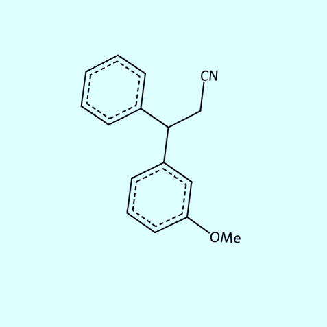 COc1cccc(C(CC#N)c2ccccc2)c1